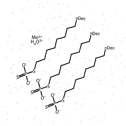 CCCCCCCCCCCCCCCCCCSP([O-])([O-])=S.CCCCCCCCCCCCCCCCCCSP([O-])([O-])=S.CCCCCCCCCCCCCCCCCCSP([O-])([O-])=S.[Mo+4].[OH4+2]